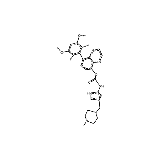 COc1cc(OC)c(F)c(-c2ccc(OC(=O)Nc3nc(CN4CCN(C)CC4)c[nH]3)c3nccnc23)c1F